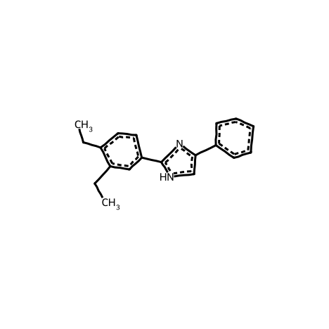 CCc1ccc(-c2nc(-c3ccccc3)c[nH]2)cc1CC